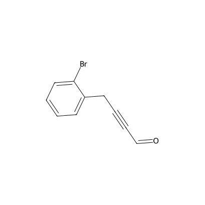 O=CC#CCc1ccccc1Br